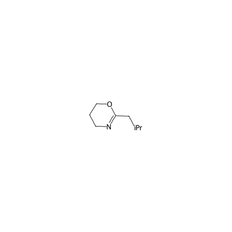 CC(C)CC1=NCCCO1